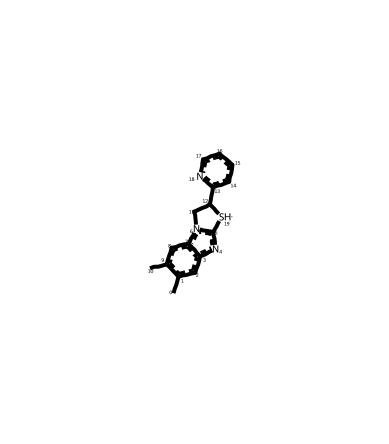 Cc1cc2nc3n(c2cc1C)CC(c1ccccn1)[SH]3